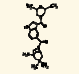 CC1CN(C(=O)c2c[nH]c3ccc(C(=O)N4CC5(C)CC4CC(C)(C)C5)cc23)CC(C)O1